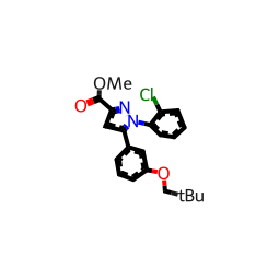 COC(=O)c1cc(-c2cccc(OCC(C)(C)C)c2)n(-c2ccccc2Cl)n1